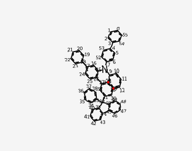 c1ccc(-c2ccc(N(c3ccccc3)c3cc(-c4ccccc4)ccc3-c3cccc(C4(c5ccccc5)c5ccccc5-c5ccccc54)c3)cc2)cc1